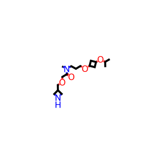 CC(C)OC1CC(OCCCN(C)C(=O)COCC2CNC2)C1